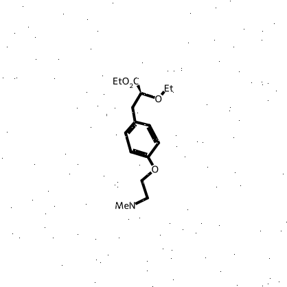 CCOC(=O)[C@H](Cc1ccc(OCCNC)cc1)OCC